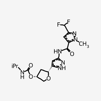 CC(C)NC(=O)O[C@H]1CO[C@@H](c2cc(NC(=O)c3cc(C(F)F)nn3C)n[nH]2)C1